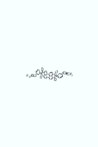 O=C1c2ccc3c4ccc5c6c(ccc(c7ccc(c2c37)C(=O)N1c1cccc(OC(F)(F)F)c1)c64)C(=O)N(c1cccc(OC(F)(F)F)c1)C5=O